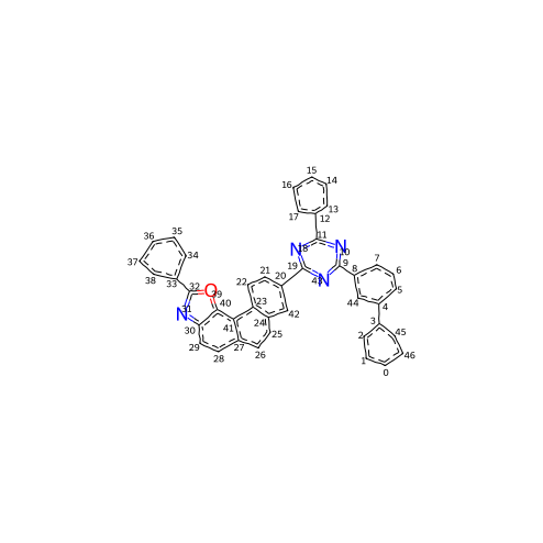 c1ccc(-c2cccc(-c3nc(-c4ccccc4)nc(-c4ccc5c(ccc6ccc7nc(-c8ccccc8)oc7c65)c4)n3)c2)cc1